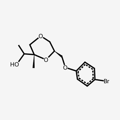 CC(O)[C@]1(C)COC[C@@H](COc2ccc(Br)cc2)O1